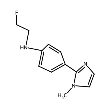 Cn1ccnc1-c1ccc(NCCF)cc1